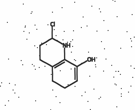 OC1=CCCC2=C1NC(Cl)CC2